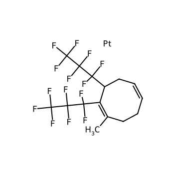 C/C1=C(\C(F)(F)C(F)(F)C(F)(F)F)C(C(F)(F)C(F)(F)C(F)(F)F)C/C=C\CC1.[Pt]